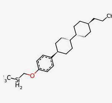 CCC[C@H]1CC[C@H]([C@H]2CC[C@H](c3ccc(OC[SiH2]C)cc3)CC2)CC1